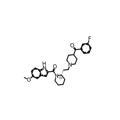 COc1ccc2[nH]c(C(=O)N3CCCC[C@H]3CCN3CCC(C(=O)c4cccc(F)c4)CC3)cc2c1